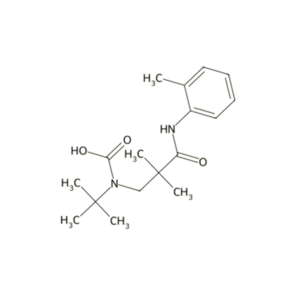 Cc1ccccc1NC(=O)C(C)(C)CN(C(=O)O)C(C)(C)C